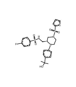 CC(C)(O)c1ccc(N2CCN(S(=O)(=O)c3cccs3)C[C@@H]2CNS(=O)(=O)c2ccc(F)cc2)cc1